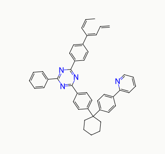 C=C/C=C(\C=C/C)c1ccc(-c2nc(-c3ccccc3)nc(-c3ccc(C4(c5ccc(-c6ccccn6)cc5)CCCCC4)cc3)n2)cc1